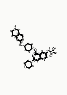 CS(=O)(=O)Nc1cnc2cc(N3CCOCC3)nc(O[C@H]3CC[C@@H](Nc4ncc5c(n4)CCNC5)CC3)c2c1